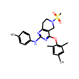 Cc1cc(C#N)cc(C)c1Oc1nc(Nc2ccc(C#N)cc2)nc2c1CN(S(C)(=O)=O)CC2